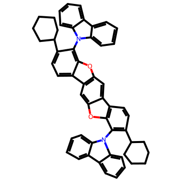 c1ccc2c(c1)c1ccccc1n2-c1c(C2CCCCC2)ccc2c1oc1cc3c(cc12)oc1c(-n2c4ccccc4c4ccccc42)c(C2CCCCC2)ccc13